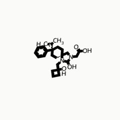 CN(C)[C@]1(c2ccccc2)CC[C@]2(CC1)CN(CC(=O)O)C(O)N2CC1(O)CCC1